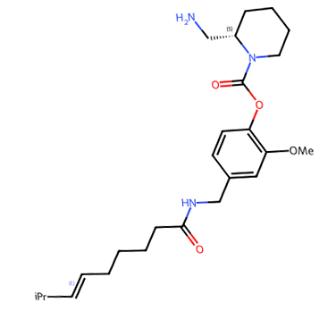 COc1cc(CNC(=O)CCCC/C=C/C(C)C)ccc1OC(=O)N1CCCC[C@H]1CN